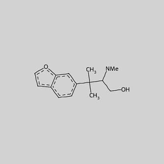 CNC(CO)C(C)(C)c1ccc2ccoc2c1